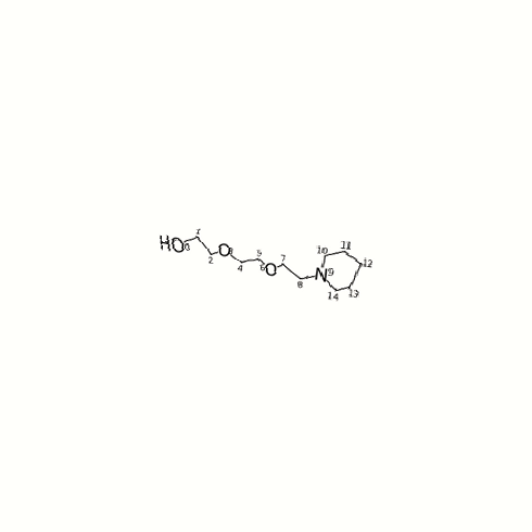 OCCOCCOCCN1CCCCC1